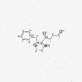 O=CCCC(=O)C1NCCOC1Cc1ccccc1